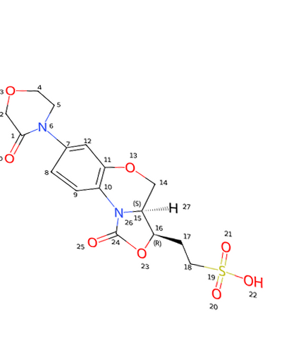 O=C1COCCN1c1ccc2c(c1)OC[C@H]1[C@@H](CCS(=O)(=O)O)OC(=O)N21